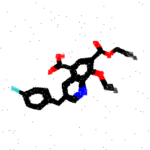 CCOC(=O)c1cc(C(=O)O)c2cc(Cc3ccc(F)cc3)cnc2c1OC